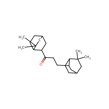 CC1(C)CC2CCC1C(CCC(=O)C1CC3CCC1C(C)(C)C3)C2